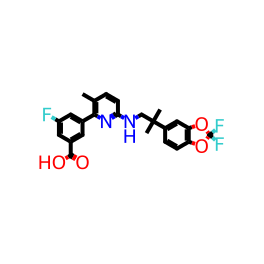 Cc1ccc(NCC(C)(C)c2ccc3c(c2)OC(F)(F)O3)nc1-c1cc(F)cc(C(=O)O)c1